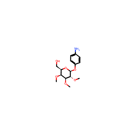 CO[C@H]1[C@@H](OC)[C@@H](CO)O[C@@H](Oc2ccc(N)cc2)[C@@H]1OC